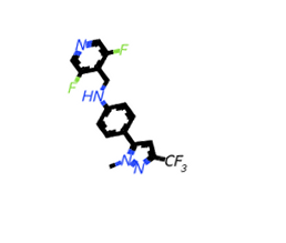 Cn1nc(C(F)(F)F)cc1-c1ccc(NCc2c(F)cncc2F)cc1